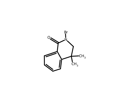 CC1(C)CN(Br)C(=O)c2ccccc21